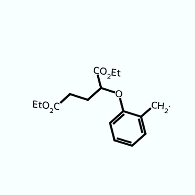 [CH2]c1ccccc1OC(CCC(=O)OCC)C(=O)OCC